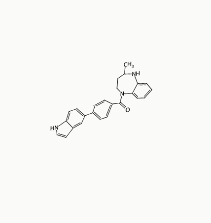 CC1CCN(C(=O)c2c[c]c(-c3ccc4[nH]ccc4c3)cc2)c2ccccc2N1